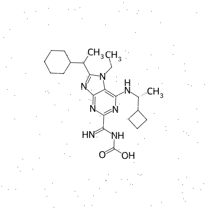 CCn1c(C(C)C2CCCCC2)nc2nc(C(=N)NC(=O)O)nc(N[C@H](C)C3CCC3)c21